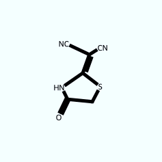 N#CC(C#N)=C1NC(=O)CS1